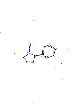 CN1CCC[C@@H]1c1ccccc1